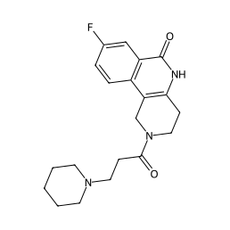 O=C(CCN1CCCCC1)N1CCc2[nH]c(=O)c3cc(F)ccc3c2C1